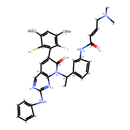 COc1cc(OC)c(F)c(-c2cc3cnc(Nc4ccccc4)nc3n(C(C)c3cccc(NC(=O)/C=C/CN(C)C)c3)c2=O)c1F